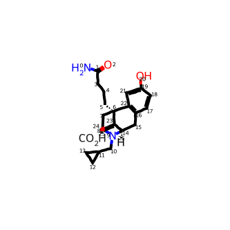 NC(=O)CCC[C@]12CCN(CC3CC3)[C@H](Cc3ccc(O)cc31)/C2=C\C(=O)O